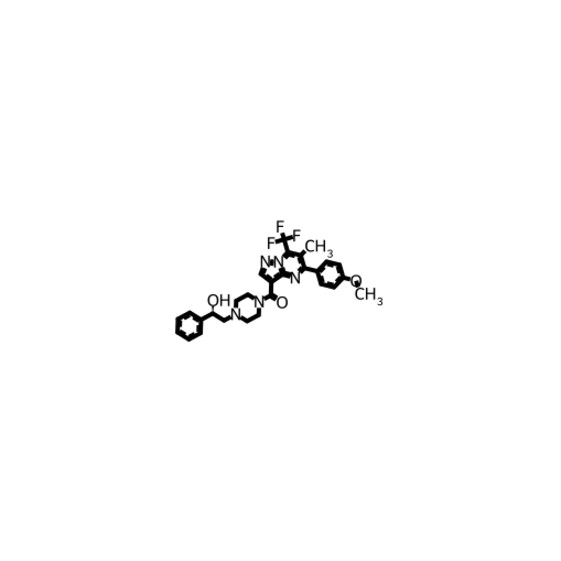 COc1ccc(-c2nc3c(C(=O)N4CCN(C[C@@H](O)c5ccccc5)CC4)cnn3c(C(F)(F)F)c2C)cc1